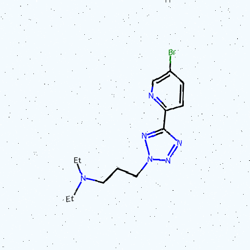 CCN(CC)CCCn1nnc(-c2ccc(Br)cn2)n1